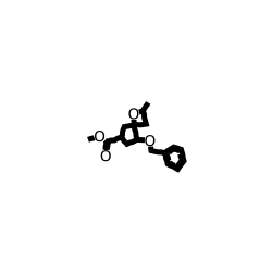 COC(=O)C1CC(OCc2ccccc2)C2(CC(C)O2)C1